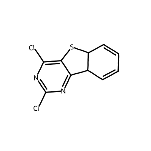 Clc1nc(Cl)c2c(n1)C1C=CC=CC1S2